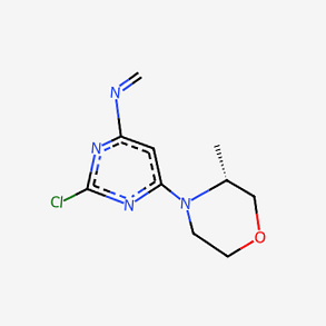 C=Nc1cc(N2CCOC[C@H]2C)nc(Cl)n1